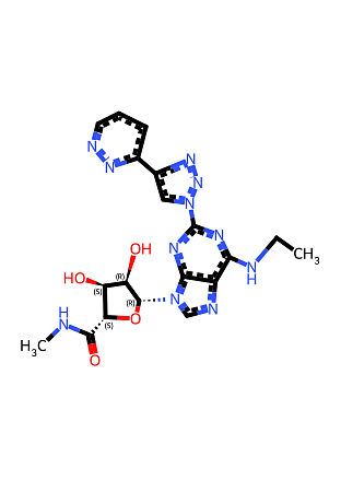 CCNc1nc(-n2cc(-c3cccnn3)nn2)nc2c1ncn2[C@@H]1O[C@H](C(=O)NC)[C@@H](O)[C@H]1O